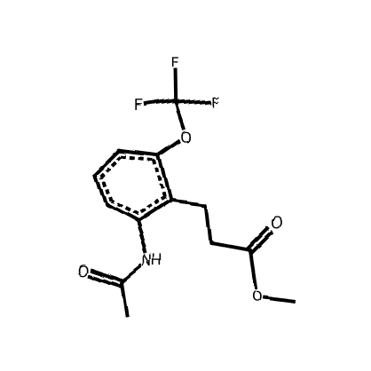 COC(=O)CCc1c(NC(C)=O)cccc1OC(F)(F)F